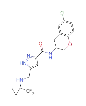 O=C(NC1COc2ccc(Cl)cc2C1)c1cc(CNC2(C(F)(F)F)CC2)[nH]n1